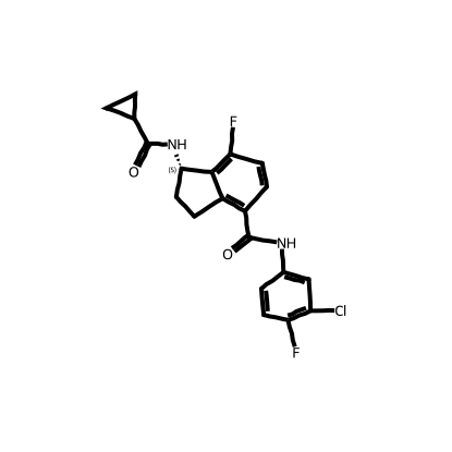 O=C(Nc1ccc(F)c(Cl)c1)c1ccc(F)c2c1CC[C@@H]2NC(=O)C1CC1